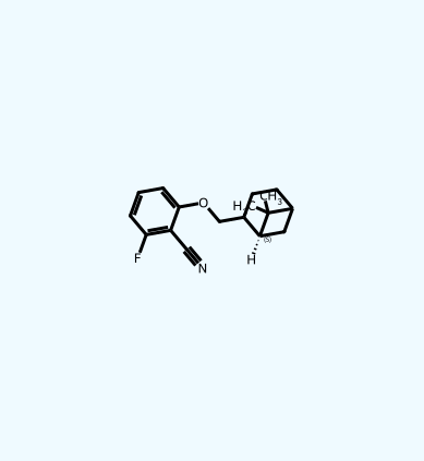 CC1(C)C2CCC(COc3cccc(F)c3C#N)[C@@H]1C2